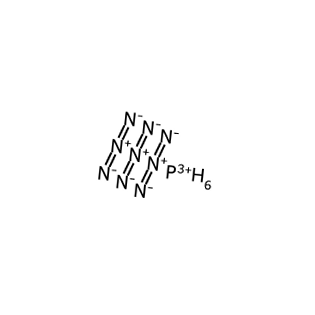 [N-]=[N+]=[N-].[N-]=[N+]=[N-].[N-]=[N+]=[N-].[PH6+3]